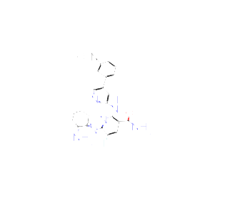 NC(=O)c1cc(F)c(N[C@@H]2CCCC[C@@H]2N)nc1Nc1cncc(-c2cccc([N+](=O)[O-])c2)c1